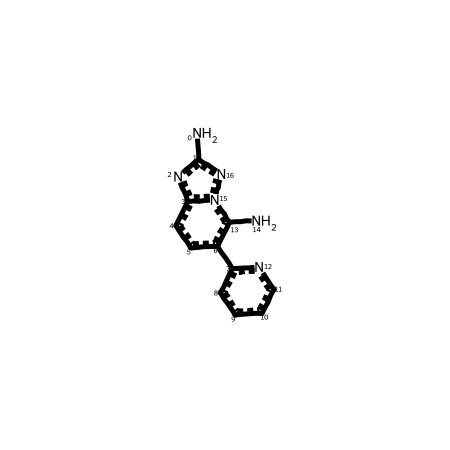 Nc1nc2ccc(-c3ccccn3)c(N)n2n1